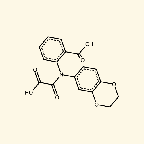 O=C(O)C(=O)N(c1ccc2c(c1)OCCO2)c1ccccc1C(=O)O